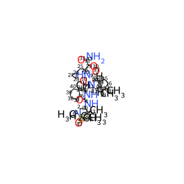 CN(C[C@@H](NC(=O)N[C@H](C(=O)N1C[C@H]2[C@H](CCC2(C)C)[C@H]1C(=O)NC(CC1CC1)C(=O)C(N)=O)C1(C)CCCCC1)C(C)(C)C)[S+](C)[O-]